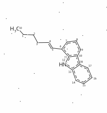 CCCCC=Cc1cccc2c1[nH]c1ccccc12